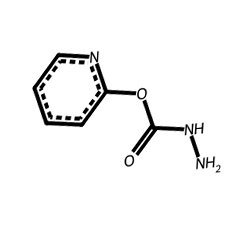 NNC(=O)Oc1ccccn1